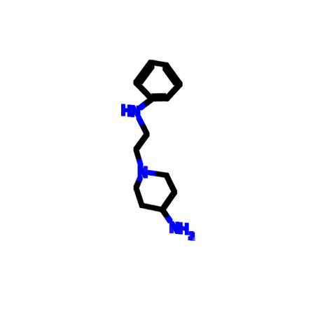 NC1CCN(CCNc2ccccc2)CC1